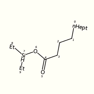 CCCCCCCCCCC(=O)O[SiH](CC)CC